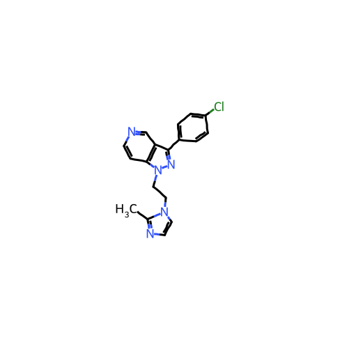 Cc1nccn1CCn1nc(-c2ccc(Cl)cc2)c2cnccc21